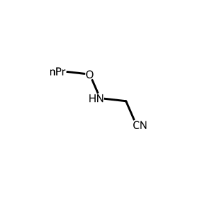 CCCONCC#N